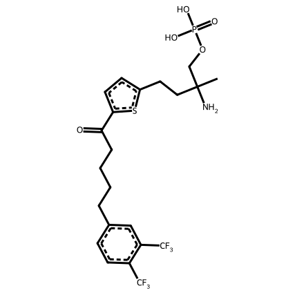 CC(N)(CCc1ccc(C(=O)CCCCc2ccc(C(F)(F)F)c(C(F)(F)F)c2)s1)COP(=O)(O)O